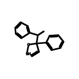 C=CC(O[SiH3])(c1ccccc1)C(C)c1ccccc1